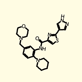 O=C(Nc1cc(CN2CCOCC2)ccc1N1CCCCC1)c1csc(-c2cn[nH]c2)n1